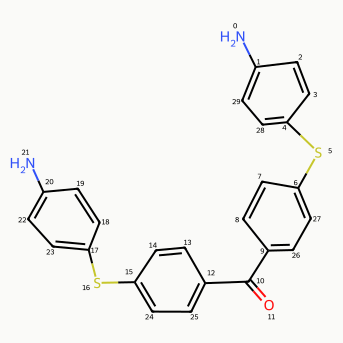 Nc1ccc(Sc2ccc(C(=O)c3ccc(Sc4ccc(N)cc4)cc3)cc2)cc1